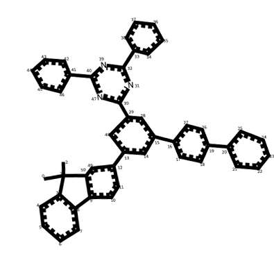 CC1(C)c2ccccc2-c2ccc(-c3cc(-c4ccc(-c5ccccc5)cc4)cc(-c4nc(-c5ccccc5)nc(-c5ccccc5)n4)c3)cc21